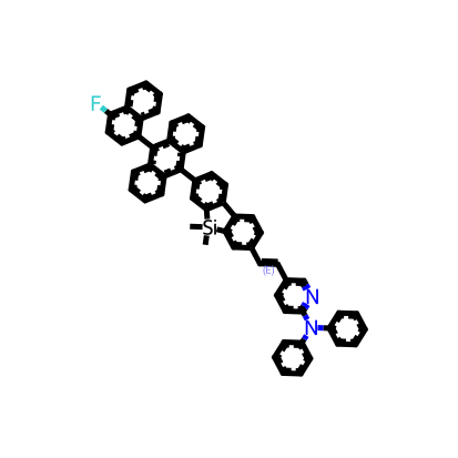 C[Si]1(C)c2cc(/C=C/c3ccc(N(c4ccccc4)c4ccccc4)nc3)ccc2-c2ccc(-c3c4ccccc4c(-c4ccc(F)c5ccccc45)c4ccccc34)cc21